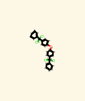 ClC(Cl)(c1ccccc1)c1ccc(Oc2ccc(C(Cl)(Cl)c3ccccc3)cc2)cc1